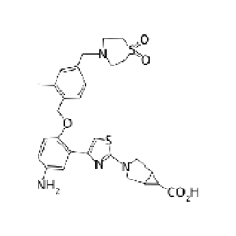 Cc1cc(CN2CCS(=O)(=O)CC2)ccc1COc1ccc(N)cc1-c1csc(N2CC3C(C2)C3C(=O)O)n1